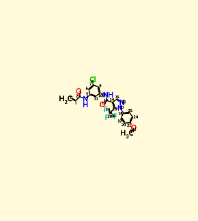 C=CC(=O)Nc1cc(Cl)cc(NC(=O)c2cnn(-c3ccc(OC)cc3)c2C(F)(F)F)c1